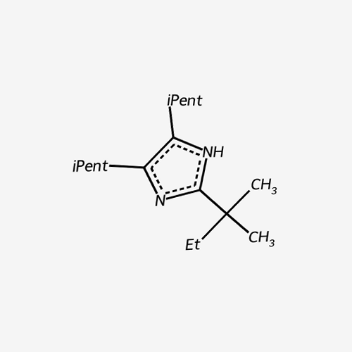 CCCC(C)c1nc(C(C)(C)CC)[nH]c1C(C)CCC